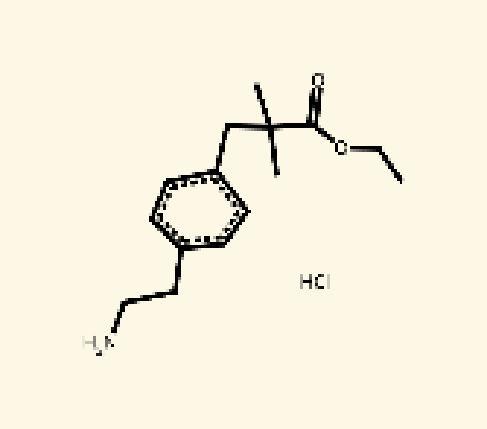 CCOC(=O)C(C)(C)Cc1ccc(CCN)cc1.Cl